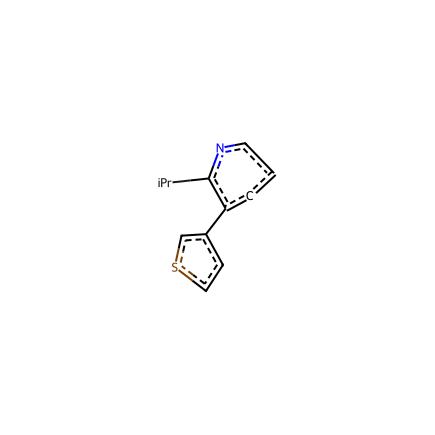 CC(C)c1ncccc1-c1ccsc1